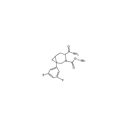 CC(C)(C)OC(=O)N1CC2(c3cc(F)cc(F)c3)CC2CC1C(N)=O